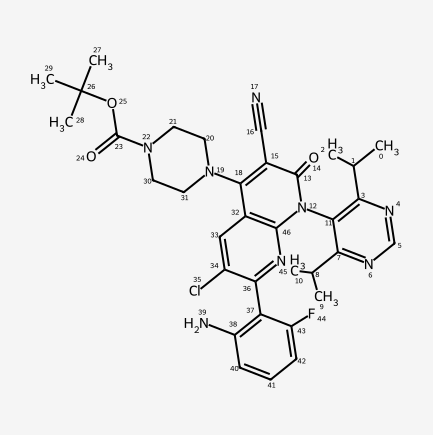 CC(C)c1ncnc(C(C)C)c1-n1c(=O)c(C#N)c(N2CCN(C(=O)OC(C)(C)C)CC2)c2cc(Cl)c(-c3c(N)cccc3F)nc21